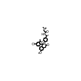 COc1ccc2c(c1)CC(=O)N(c1ccc([C@H](C)NC(=O)CN(C)C)cc1)[C@]2(OC(C)C)c1ccc(Cl)cc1